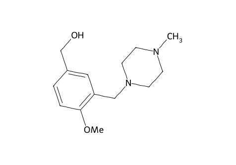 COc1ccc(CO)cc1CN1CCN(C)CC1